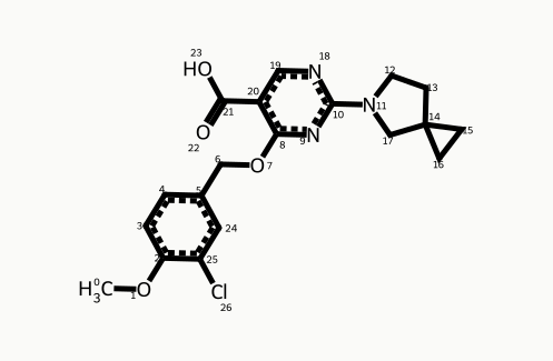 COc1ccc(COc2nc(N3CCC4(CC4)C3)ncc2C(=O)O)cc1Cl